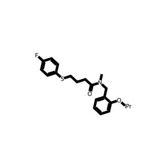 CC(C)Oc1ccccc1CN(C)C(=O)CCCSc1ccc(F)cc1